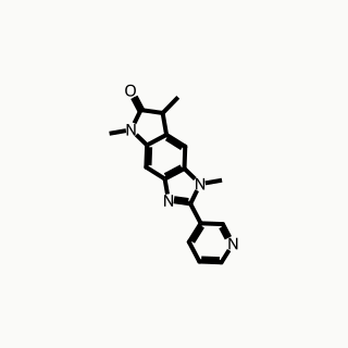 CC1C(=O)N(C)c2cc3nc(-c4cccnc4)n(C)c3cc21